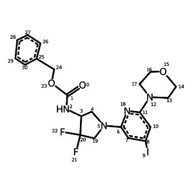 O=C(NC1CN(c2cc(I)cc(N3CCOCC3)n2)CC1(F)F)OCc1ccccc1